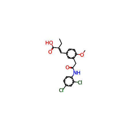 CC/C(=C\c1ccc(OC)c(CC(=O)Nc2ccc(Cl)cc2Cl)c1)C(=O)O